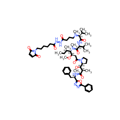 CC[C@H](C)[C@@H]([C@@H](CC(=O)N1CCC[C@H]1[C@H](OC)[C@@H](C)C(=O)N[C@H](Cc1ccccc1)c1nnc(-c2ccccc2)o1)OC)N(C)C(=O)[C@@H](NC(=O)[C@H](C(C)C)N(C)CCCC(=O)NNC(=O)CCCCCN1C(=O)C=CC1=O)C(C)C